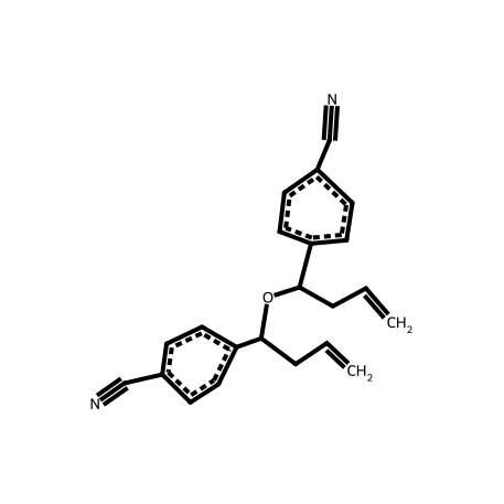 C=CCC(OC(CC=C)c1ccc(C#N)cc1)c1ccc(C#N)cc1